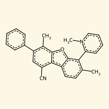 Cc1ccc2c(oc3c(C)c(-c4ccccc4)cc(C#N)c32)c1-c1cccc[n+]1C